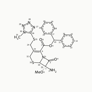 CO[C@@]1(N)C(=O)N2C(C(=O)OC(c3ccccc3)c3ccccc3)=C(CSc3nnnn3C)CSC21